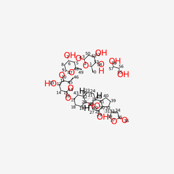 C[C@H]1O[C@@H](O[C@H]2[C@@H](O)C[C@H](O[C@H]3[C@@H](O)C[C@H](O[C@H]4CC[C@@]5(C)[C@H](CC[C@@H]6[C@@H]5C[C@@H](O)[C@]5(C)[C@@H](C7=CC(=O)OC7)CC[C@]65O)C4)O[C@@H]3C)O[C@@H]2C)C[C@H](O)[C@@H]1O.OCCO